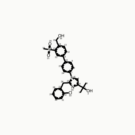 CC(C)(O)c1cn(-c2ccc(-c3ccc(CO)c(S(C)(=O)=O)c3)cc2)c(Cc2ccccc2Cl)n1